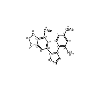 COc1ccc(-c2cnoc2-c2cc(OC)c3c(c2)OCO3)c(N)c1